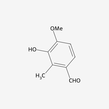 COc1ccc(C=O)c(C)c1O